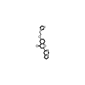 O=c1cc(-c2cc3cccn3cn2)oc2ccc(OCCn3ccnc3)cc12